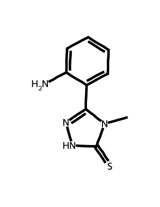 Cn1c(-c2ccccc2N)n[nH]c1=S